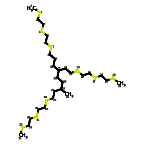 CSCCSCCSCCCC(CCSCCSCCSC)CCC(C)CCSCCSCCSC